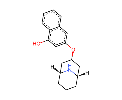 Oc1cc(O[C@@H]2C[C@H]3CCC[C@@H](C2)N3)cc2ccccc12